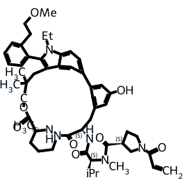 C=CC(=O)N1CC[C@H](C(=O)N(C)[C@H](C(=O)N[C@H]2Cc3cc(O)cc(c3)-c3ccc4c(c3)c(c(-c3ccccc3CCOC)n4CC)CC(C)(C)COC(=O)[C@]3(C)CCCN(N3)C2=O)C(C)C)C1